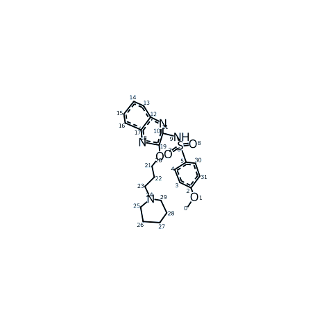 COc1ccc(S(=O)(=O)Nc2nc3ccccc3nc2OCCCN2CCCCC2)cc1